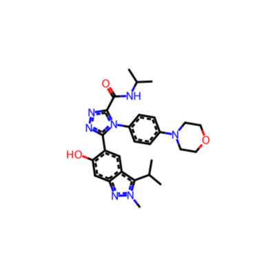 CC(C)NC(=O)c1nnc(-c2cc3c(C(C)C)n(C)nc3cc2O)n1-c1ccc(N2CCOCC2)cc1